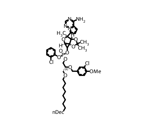 CCCCCCCCCCCCCCCCCCOC[C@H](COP(=O)(Oc1ccccc1Cl)OC1[C@H]2O[C@@](C)(c3ccc4c(N)ncnn34)[C@@H]3OC(C)(C)O[C@]123)OCc1ccc(OC)c(Cl)c1